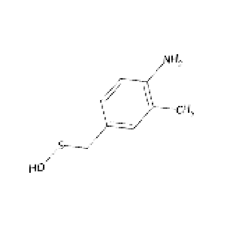 Cc1cc(CSO)ccc1N